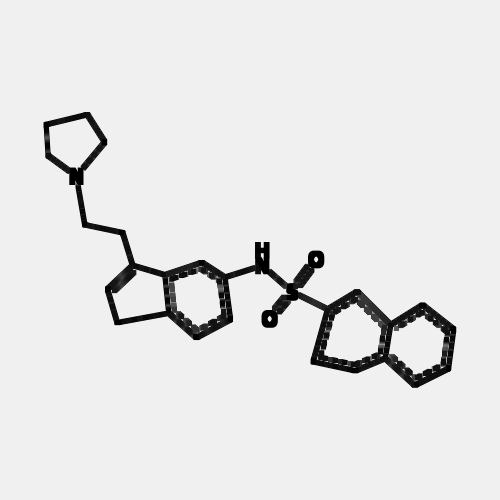 O=S(=O)(Nc1ccc2c(c1)C(CCN1CCCC1)=CC2)c1ccc2ccccc2c1